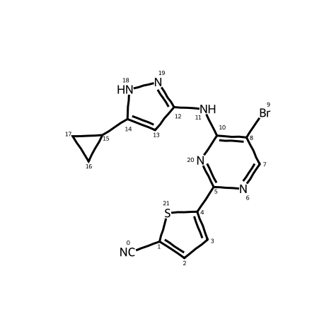 N#Cc1ccc(-c2ncc(Br)c(Nc3cc(C4CC4)[nH]n3)n2)s1